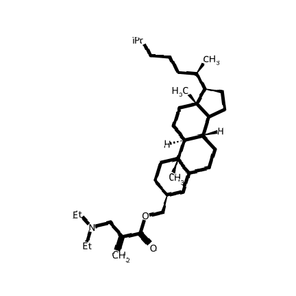 C=C(CN(CC)CC)C(=O)OC[C@H]1CC[C@@]2(C)C(CC[C@H]3C4CC[C@H]([C@H](C)CCCC(C)C)[C@@]4(C)CC[C@@H]32)C1